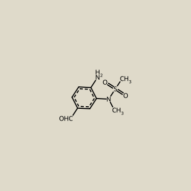 CN(c1cc(C=O)ccc1N)S(C)(=O)=O